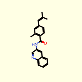 CC(C)=Cc1ccc(C(=O)Nc2cnc3ccccc3c2)c(C)c1